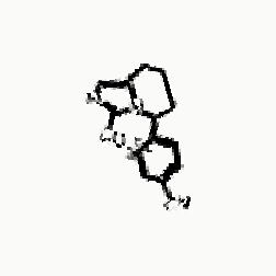 CCOC(=O)c1ncc2n1C(c1ccc(C#N)cc1)CCC2